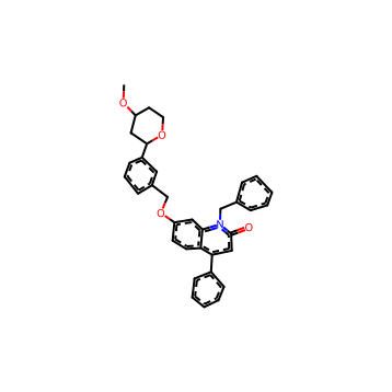 COC1CCOC(c2cccc(COc3ccc4c(-c5ccccc5)cc(=O)n(Cc5ccccc5)c4c3)c2)C1